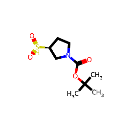 CC(C)(C)OC(=O)N1CC[C@H]([SH](=O)=O)C1